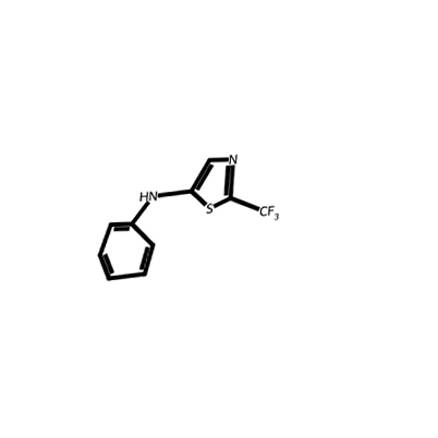 FC(F)(F)c1ncc(Nc2ccccc2)s1